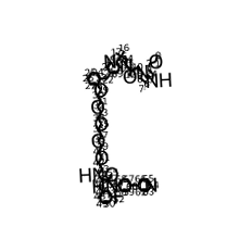 COC[C@H]1CN[C@H](C)CN1CC(=O)N1CC(C)(C)c2ncc(Cc3ccccc3OCCOCCOCCOCCOCCN[C@H](Cc3cccc(F)c3)C(=O)Nc3ccc(-c4ccncc4)cc3)cc21